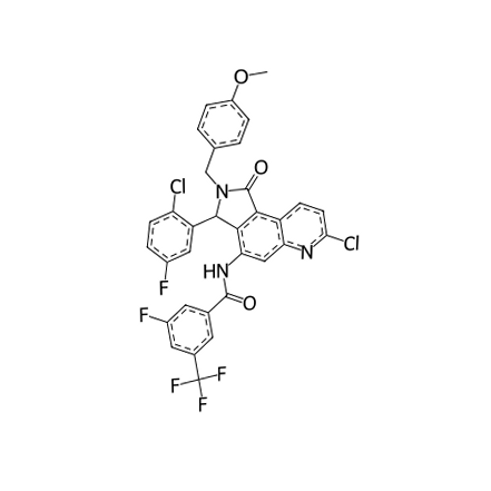 COc1ccc(CN2C(=O)c3c(c(NC(=O)c4cc(F)cc(C(F)(F)F)c4)cc4nc(Cl)ccc34)C2c2cc(F)ccc2Cl)cc1